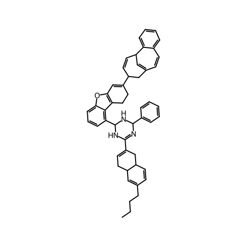 CCCCC1=CC2CC=C(C3=NC(c4ccccc4)NC(c4cccc5oc6c(c45)CCC(C4C=CC5C=C(C=Cc7ccccc75)C4)=C6)N3)CC2C=C1